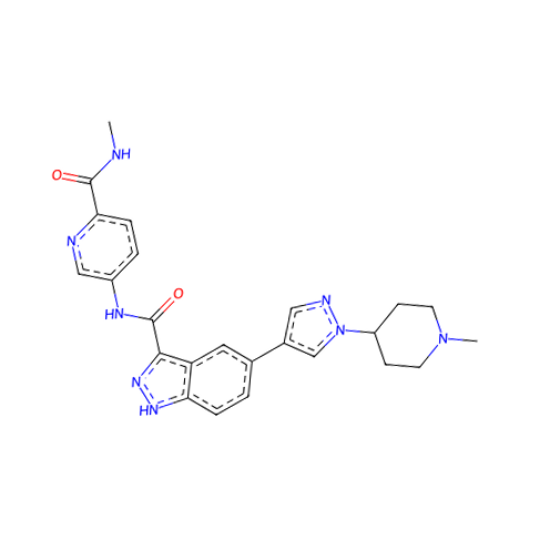 CNC(=O)c1ccc(NC(=O)c2n[nH]c3ccc(-c4cnn(C5CCN(C)CC5)c4)cc23)cn1